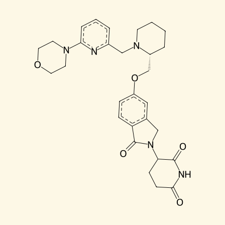 O=C1CCC(N2Cc3cc(OC[C@H]4CCCCN4Cc4cccc(N5CCOCC5)n4)ccc3C2=O)C(=O)N1